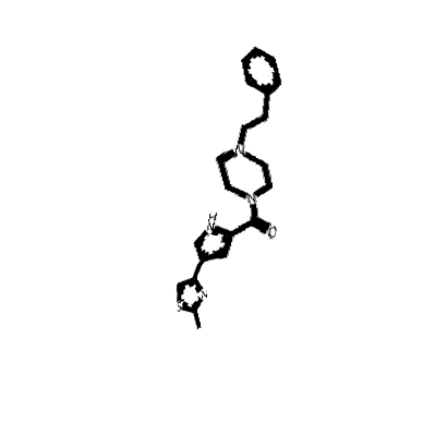 Cc1nc(-c2c[nH]c(C(=O)N3CCN(CCc4ccccc4)CC3)c2)cs1